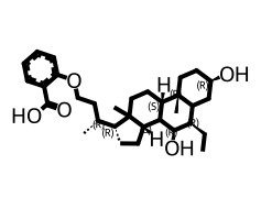 CC[C@@H]1C2C[C@H](O)CC[C@@]2(C)[C@H]2CCC3(C)[C@@H]([C@H](C)CCOc4ccccc4C(=O)O)CC[C@H]3C2[C@@H]1O